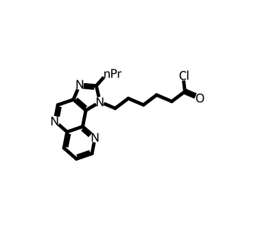 CCCc1nc2cnc3cccnc3c2n1CCCCCC(=O)Cl